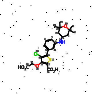 CC1(C)CC(Nc2cccc(-c3sc(C(=O)O)c(OCC(=O)O)c3Cl)c2)CC(C)(C)O1